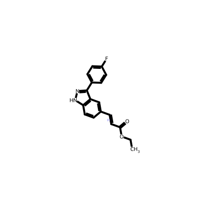 CCOC(=O)/C=C/c1ccc2[nH]nc(-c3ccc(F)cc3)c2c1